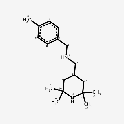 Cc1ccc(CNCC2CC(C)(C)NC(C)(C)C2)cc1